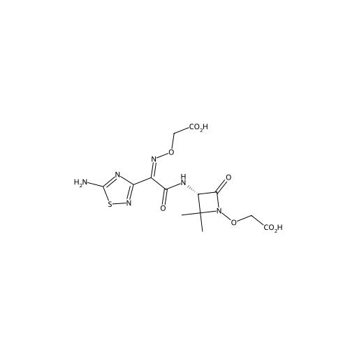 CC1(C)[C@H](NC(=O)/C(=N\OCC(=O)O)c2nsc(N)n2)C(=O)N1OCC(=O)O